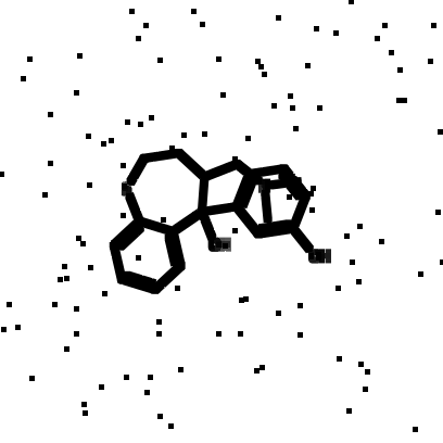 CN(C)CC1CCSc2ccccc2C1(O)c1cccc(O)c1